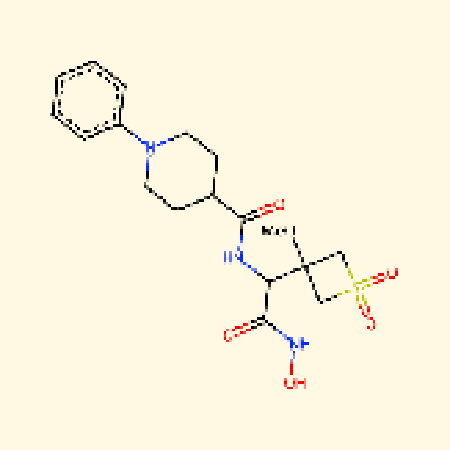 COC1(C(NC(=O)C2CCN(c3ccccc3)CC2)C(=O)NO)CS(=O)(=O)C1